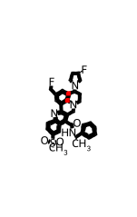 C[C@H](NC(=O)c1c(CN2CCC(N3CC[C@H](F)C3)CC2)c(-c2cccc(CF)c2)nc2ccc(S(C)(=O)=O)cc12)c1ccccc1